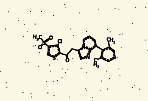 Cc1cccc(C)c1-c1cccn2c(CC(=O)c3scc(S(C)(=O)=O)c3Cl)cnc12